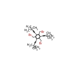 C[Si](C)(C)C#Cc1c(CBr)c(C#C[Si](C)(C)C)c(CBr)c(C#C[Si](C)(C)C)c1CBr